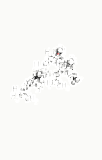 CCC(C)CC[N+]1(CC)CCC(C(N)=O)(c2ccccc2-c2ccccc2)C1.CCC(C)CC[N+]1(CC)CCC(C(N)=O)(c2ccccc2-c2ccccc2)C1.CCC(C)CC[N+]1(CC)CCC(C(N)=O)(c2ccccc2-c2ccccc2)C1.O=P([O-])([O-])[O-]